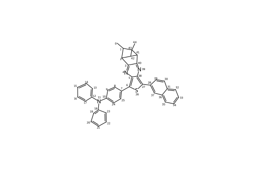 CC1C2c3nc4c(-c5ccc(N(c6ccccc6)c6ccccc6)cc5)sc(-c5ccc6ccccc6c5)c4nc3C3C2C13C